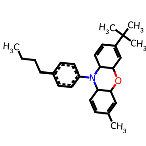 CCCCc1ccc(N2C3C=CC(C)=CC3OC3C=C(C(C)(C)C)C=CC32)cc1